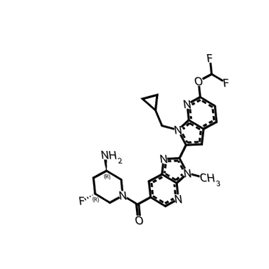 Cn1c(-c2cc3ccc(OC(F)F)nc3n2CC2CC2)nc2cc(C(=O)N3C[C@H](N)C[C@@H](F)C3)cnc21